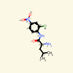 CC(C)C[C@H](N)C(=O)Nc1ccc([N+](=O)[O-])cc1Cl